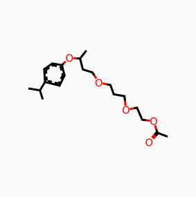 CC(=O)OCCOCCCOCCC(C)Oc1ccc(C(C)C)cc1